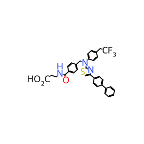 O=C(O)CCNC(=O)c1ccc(CN(c2ccc(CC(F)(F)F)cc2)c2nc(-c3ccc(-c4ccccc4)cc3)cs2)cc1